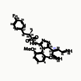 COc1cccc(OC)c1-n1c(NS(=O)(=O)[C@@H](C)Cc2ncc(F)cn2)nnc1/C(C=N)=C/C=N